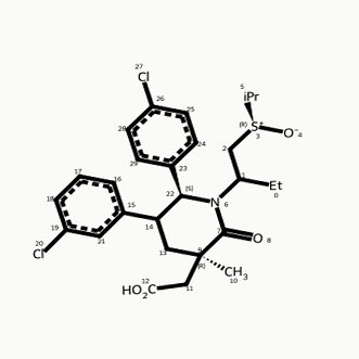 CCC(C[S@+]([O-])C(C)C)N1C(=O)[C@@](C)(CC(=O)O)CC(c2cccc(Cl)c2)[C@H]1c1ccc(Cl)cc1